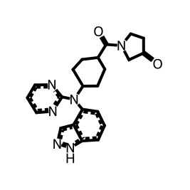 O=C1CCN(C(=O)C2CCC(N(c3ncccn3)c3cccc4[nH]ncc34)CC2)C1